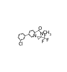 CN(C(=O)c1ccc(-c2cccc(Cl)c2)cn1)C1(C(F)(F)F)CC1